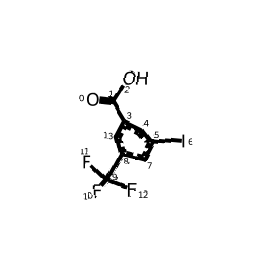 O=C(O)c1cc(I)cc(C(F)(F)F)c1